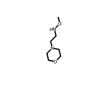 CONCCN1CCOCC1